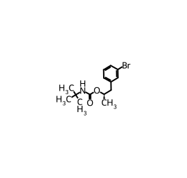 C[C@H](Cc1cccc(Br)c1)OC(=O)NC(C)(C)C